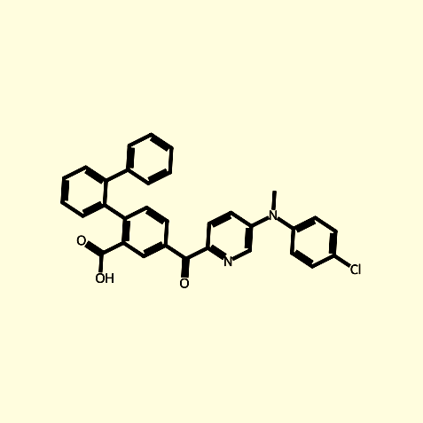 CN(c1ccc(Cl)cc1)c1ccc(C(=O)c2ccc(-c3ccccc3-c3ccccc3)c(C(=O)O)c2)nc1